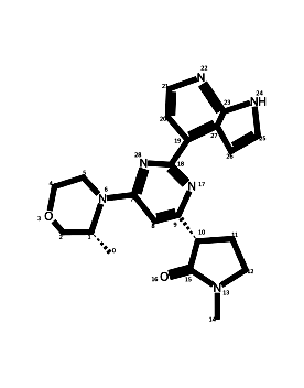 C[C@@H]1COCCN1c1cc([C@@H]2CCN(C)C2=O)nc(-c2ccnc3[nH]ccc23)n1